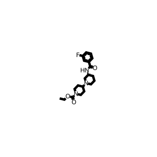 CCOC(=O)N1CCC(N2CCC[C@H](NC(=O)c3cccc(F)c3)C2)CC1